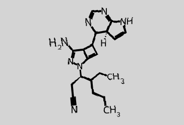 CCCC(CC)[C@@H](CC#N)N1N=C(N)C2C1=CC2C1N=CN=C2NC=C[C@H]21